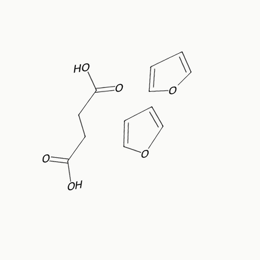 O=C(O)CCC(=O)O.c1ccoc1.c1ccoc1